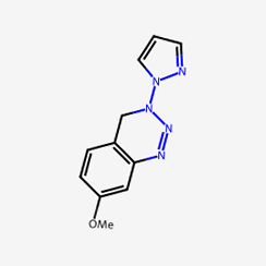 COc1ccc2c(c1)N=NN(n1cccn1)C2